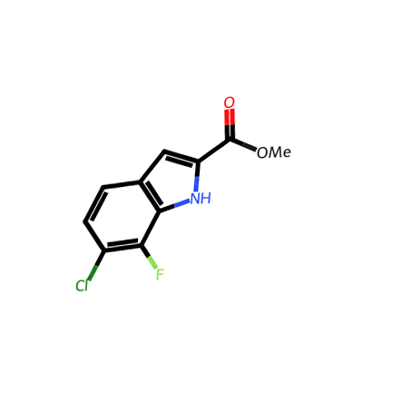 COC(=O)c1cc2ccc(Cl)c(F)c2[nH]1